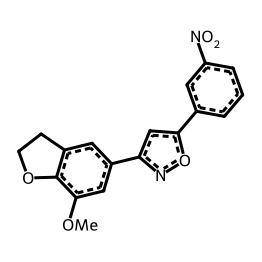 COc1cc(-c2cc(-c3cccc([N+](=O)[O-])c3)on2)cc2c1OCC2